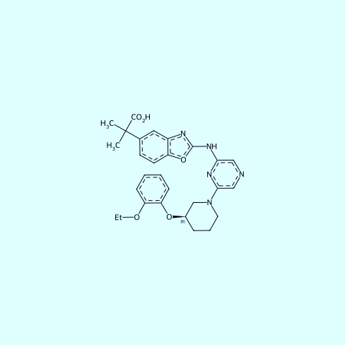 CCOc1ccccc1O[C@@H]1CCCN(c2cncc(Nc3nc4cc(C(C)(C)C(=O)O)ccc4o3)n2)C1